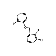 Fc1c(Cl)cccc1COc1ccccc1I